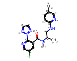 CCN(C(=O)c1cc(F)cnc1-n1nccn1)C(C)CNc1ccc(C(F)(F)F)cn1